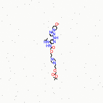 COC1CCN(c2nccc(Nc3cc(NC(C)C)c(NC(=O)COCCCN4CCN(CCCOCC(=O)OC(C)(C)C)CC4)cn3)n2)CC1